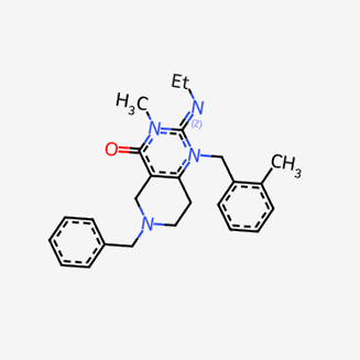 CC/N=c1/n(Cc2ccccc2C)c2c(c(=O)n1C)CN(Cc1ccccc1)CC2